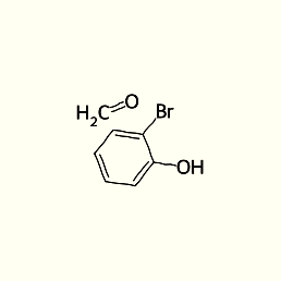 C=O.Oc1ccccc1Br